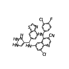 N#Cc1cnc2c(Cl)cc(N[C@H](C3=CNNN3)c3ccc4ncsc4c3)cc2c1Nc1ccc(F)c(Cl)c1